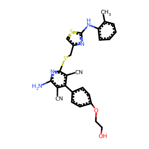 Cc1ccccc1Nc1nc(CSc2nc(N)c(C#N)c(-c3ccc(OCCO)cc3)c2C#N)cs1